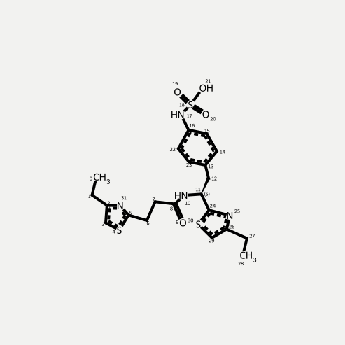 CCc1csc(CCC(=O)N[C@@H](Cc2ccc(NS(=O)(=O)O)cc2)c2nc(CC)cs2)n1